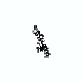 Cc1c(Nc2nc(C(F)F)nc3cc(CN4CCCC4)cnc23)cccc1-c1cccc(-c2nc3cc(C=O)ccc3o2)c1C